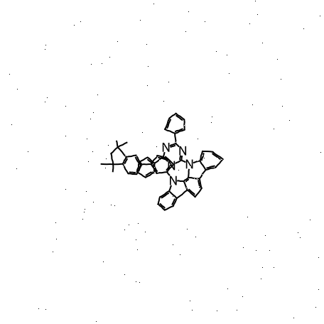 CC1(C)CC(C)(C)c2cc(-c3cccc(-n4c5ccccc5c5ccc6c7ccccc7n(-c7nc(-c8ccccc8)nc(-c8ccccc8)n7)c6c54)c3)ccc21